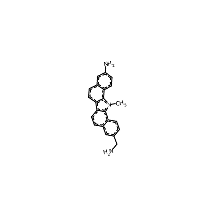 Cn1c2c3ccc(N)cc3ccc2c2ccc3cc(CN)ccc3c21